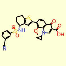 COc1c(-c2cc3c(s2)CCCC3NS(=O)(=O)c2cccc(C#N)c2)ccc2c(=O)c(C(=O)O)cn(C3CC3)c12